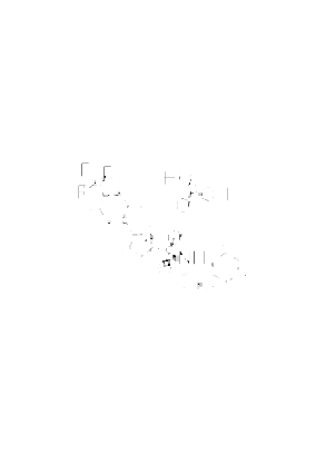 C[C@]1(c2ccccc2)C[C@@H]1NS(=O)(=O)c1ccc(-c2ccc(C(F)(F)F)cc2)s1.O=C(O)O